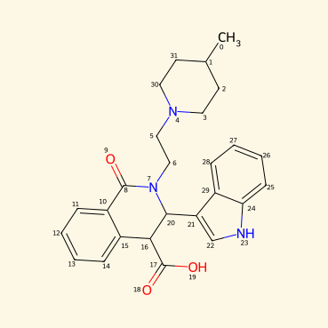 CC1CCN(CCN2C(=O)c3ccccc3C(C(=O)O)C2c2c[nH]c3ccccc23)CC1